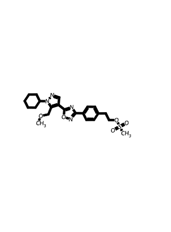 COCc1c(-c2nc(-c3ccc(CCOS(C)(=O)=O)cc3)no2)cnn1C1CCCCC1